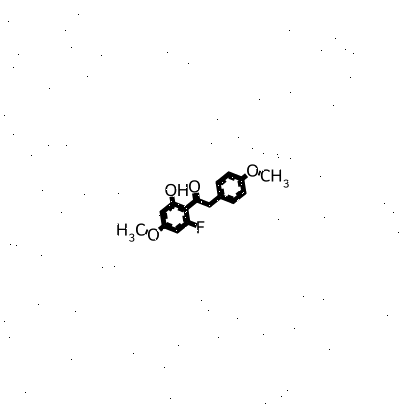 COc1ccc(CC(=O)c2c(O)cc(OC)cc2F)cc1